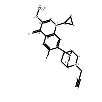 C#CCN1CC2CCC1CN2c1cc2c(cc1F)c(=O)c(OC(=O)O)cn2C1CC1